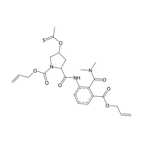 C=CCOC(=O)c1cccc(NC(=O)C2CC(OC(C)=S)CN2C(=O)OCC=C)c1C(=O)N(C)C